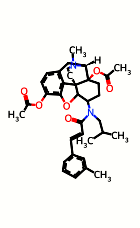 CC(=O)Oc1ccc2c3c1OC1C(N(CC(C)C)C(=O)/C=C/c4cccc(C)c4)CC[C@@]4(OC(C)=O)[C@@H](C2)N(C)CC[C@]314